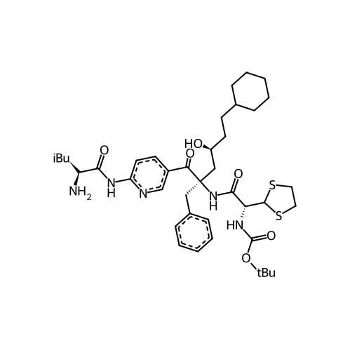 CC[C@H](C)[C@H](N)C(=O)Nc1ccc(C(=O)[C@@](Cc2ccccc2)(C[C@@H](O)CCC2CCCCC2)NC(=O)[C@@H](NC(=O)OC(C)(C)C)C2SCCS2)cn1